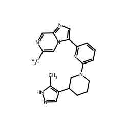 Cc1[nH]ncc1C1CCCN(c2cccc(-c3cnc4cnc(C(F)(F)F)cn34)n2)C1